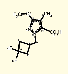 Cc1c(OC(F)(F)F)nn(CC2CC(F)(F)C2)c1C(=O)O